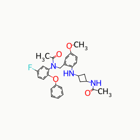 COc1ccc(NC2CC(NC(C)=O)C2)c(CN(C(C)=O)c2cc(F)ccc2Oc2ccccc2)c1